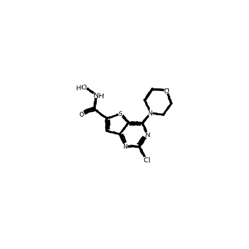 O=C(NO)c1cc2nc(Cl)nc(N3CCOCC3)c2s1